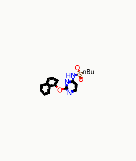 CCCCS(=O)(=O)Nc1ccnc(Oc2cccc3ccccc23)n1